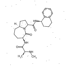 CN[C@@H](C)C(=O)N[C@H]1CCC[C@H]2CCC(C(=O)N[C@@H]3CCCc4ccccc43)N2C1=O